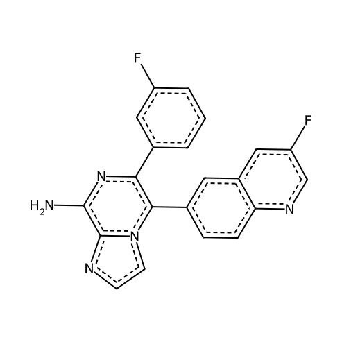 Nc1nc(-c2cccc(F)c2)c(-c2ccc3ncc(F)cc3c2)n2ccnc12